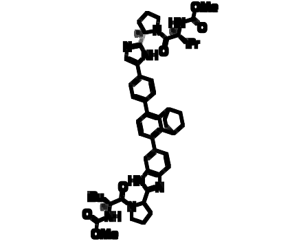 CCC(C)[C@H](NC(=O)OC)C(=O)N1CCCC1c1nc2ccc(-c3ccc(-c4ccc(-c5cnc([C@@H]6CCCN6C(=O)[C@@H](NC(=O)OC)C(C)C)[nH]5)cc4)c4c3C3CCC4CC3)cc2[nH]1